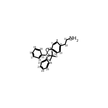 CC(C)(C)[Si](Oc1ccc(CCN)cc1)(c1ccccc1)c1ccccc1